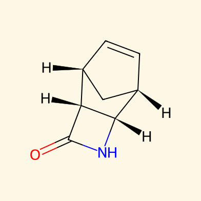 O=C1N[C@@H]2[C@H]1[C@@H]1C=C[C@H]2C1